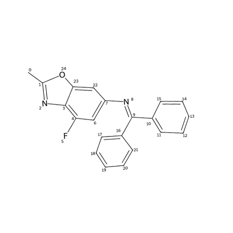 Cc1nc2c(F)cc(N=C(c3ccccc3)c3ccccc3)cc2o1